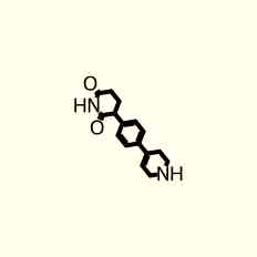 O=C1CCC(c2ccc(C3=CCNCC3)cc2)C(=O)N1